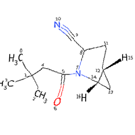 CC(C)(C)CC(=O)N1C(C#N)C[C@@H]2C[C@@H]21